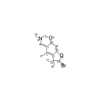 CC1=C2C(=CC(=O)/C1=C\N(C)C)OC(Br)C2(C)C